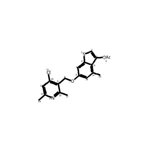 CC(=O)Oc1csc2cc(OCc3c(Cl)cc(C)nc3C)cc(C)c12